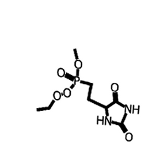 CCOOP(=O)(CCC1NC(=O)NC1=O)OC